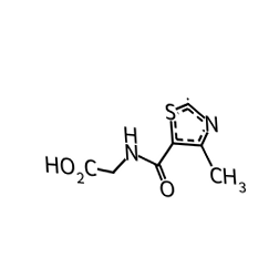 Cc1n[c]sc1C(=O)NCC(=O)O